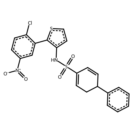 O=[N+]([O-])c1ccc(Cl)c(-c2sccc2NS(=O)(=O)C2=CCC(c3ccccc3)C=C2)c1